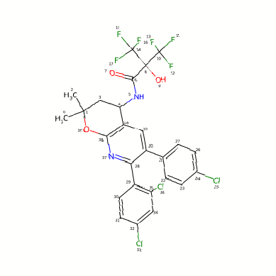 CC1(C)CC(NC(=O)C(O)(C(F)(F)F)C(F)(F)F)c2cc(-c3ccc(Cl)cc3)c(-c3ccc(Cl)cc3Cl)nc2O1